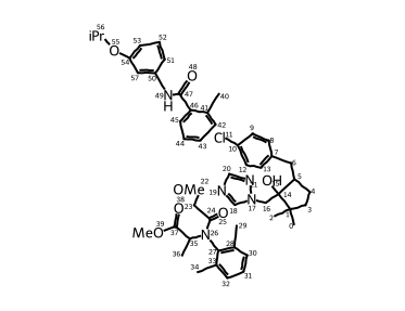 CC1(C)CCC(Cc2ccc(Cl)cc2)C1(O)Cn1cncn1.COCC(=O)N(c1c(C)cccc1C)C(C)C(=O)OC.Cc1ccccc1C(=O)Nc1cccc(OC(C)C)c1